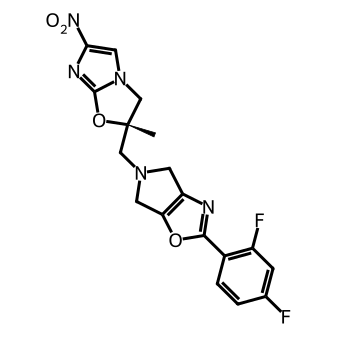 C[C@]1(CN2Cc3nc(-c4ccc(F)cc4F)oc3C2)Cn2cc([N+](=O)[O-])nc2O1